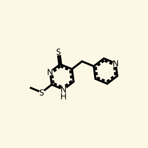 CSc1nc(=S)c(Cc2cccnc2)c[nH]1